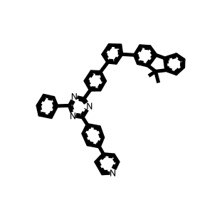 CC1(C)c2ccccc2-c2ccc(-c3cccc(-c4ccc(-c5nc(-c6ccccc6)nc(-c6ccc(-c7ccncc7)cc6)n5)cc4)c3)cc21